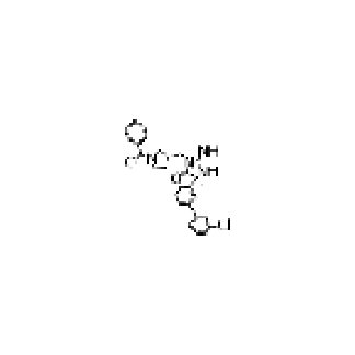 C[C@@]1(c2cccc(-c3cccc(Cl)c3)c2)NC(=N)N(CC2CCN(C(=O)c3ccccc3)C2)C1=O